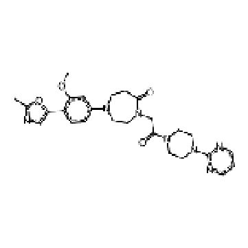 COc1cc(N2CCC(=O)N(CC(=O)N3CCN(c4ncccn4)CC3)CC2)ccc1-c1cnc(C)o1